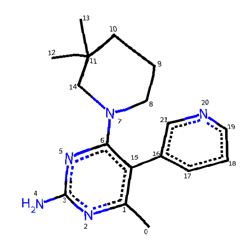 Cc1nc(N)nc(N2CCCC(C)(C)C2)c1-c1cccnc1